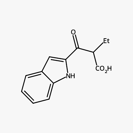 CCC(C(=O)O)C(=O)c1cc2ccccc2[nH]1